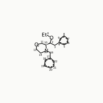 CCOC(Cc1ccccc1)[C@@H]1COCCN1Cc1ccccc1